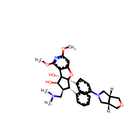 COc1cc2c(c(OC)n1)[C@]1(O)[C@H](O)[C@H](CN(C)C)[C@@H](c3ccccc3)[C@]1(c1ccc(N3C[C@H]4COC[C@H]4C3)cc1)O2